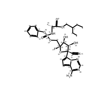 CCC(CC)COC(=O)[C@@H](C)NP(=O)(OC[C@@]1(F)O[C@@](C#N)(c2ccc3c(N)ncnn23)[C@H](O)[C@@H]1O)Oc1ccccc1